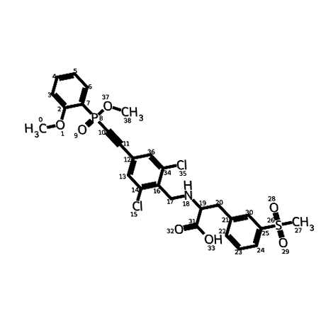 COc1ccccc1P(=O)(C#Cc1cc(Cl)c(CNC(Cc2cccc(S(C)(=O)=O)c2)C(=O)O)c(Cl)c1)OC